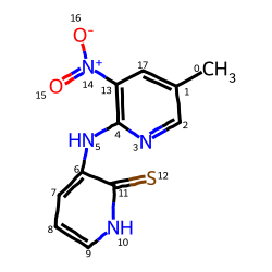 Cc1cnc(Nc2ccc[nH]c2=S)c([N+](=O)[O-])c1